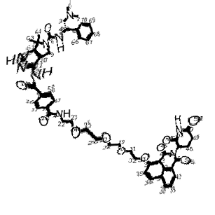 CN(C)C[C@@H](NC(=O)N1Cc2c(NC(=O)c3ccc(C(=O)NCCOCCOCCOCCOc4ccc5cccc6c5c4C(=O)N(C4CCC(=O)NC4=O)C6=O)cc3)n[nH]c2C1(C)C)c1ccccc1